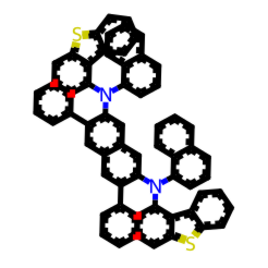 c1ccc(-c2cc3cc(-c4ccccc4)c(N(c4cccc5ccccc45)c4cccc5sc6ccccc6c45)cc3cc2N(c2cccc3ccccc23)c2cccc3sc4ccccc4c23)cc1